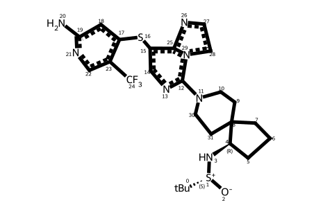 CC(C)(C)[S@@+]([O-])N[C@@H]1CCCC12CCN(c1ncc(Sc3cc(N)ncc3C(F)(F)F)c3nccn13)CC2